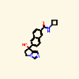 O=C(NC1CCC1)c1ccc2cc(C3(O)CCn4cncc43)ccc2c1